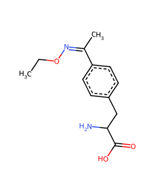 CCO/N=C(/C)c1ccc(CC(N)C(=O)O)cc1